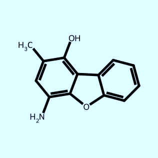 Cc1cc(N)c2oc3ccccc3c2c1O